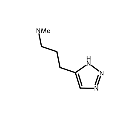 CNCCCc1cnn[nH]1